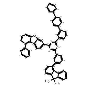 CC1(C)c2ccccc2-c2c(-c3cccc(-c4nc(-c5cccc(-c6ccc(-c7ccccc7)cc6)c5)nc(-c5ccc6c(c5)oc5cccc(-c7ccccc7)c56)n4)c3)cccc21